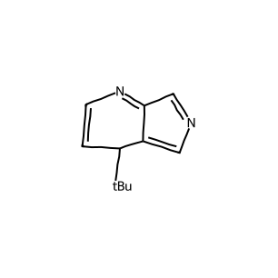 CC(C)(C)C1C=CN=C2C=NC=C21